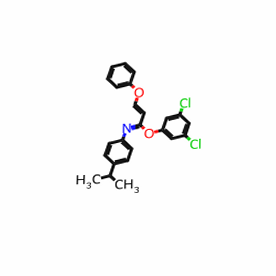 CC(C)c1ccc(N=C(C=COc2ccccc2)Oc2cc(Cl)cc(Cl)c2)cc1